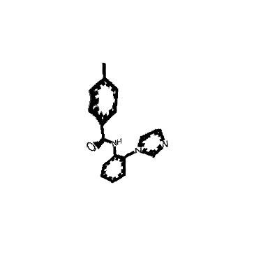 Cc1ccc(C(=O)Nc2ccccc2-n2ccnc2)cc1